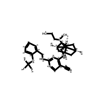 CN(CCO)[C@@H]1[C@@H]2C[C@H]3C[C@H]1CC3(CNc1nc(NCc3ccccc3OC(F)(F)F)ncc1C#N)C2